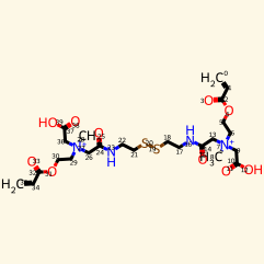 C=CC(=O)OCC[N+](C)(CC(=O)O)CC(=O)NCCSSCCNC(=O)C[N+](C)(CCOC(=O)C=C)CC(=O)O